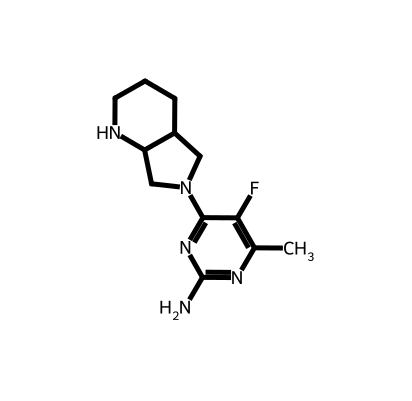 Cc1nc(N)nc(N2CC3CCCNC3C2)c1F